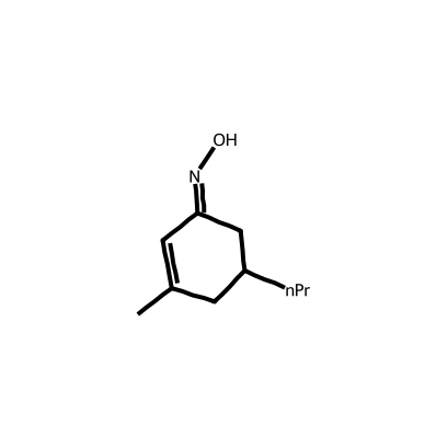 CCCC1CC(C)=C/C(=N/O)C1